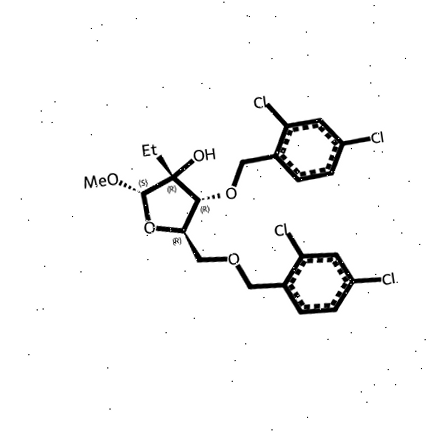 CC[C@]1(O)[C@@H](OC)O[C@H](COCc2ccc(Cl)cc2Cl)[C@H]1OCc1ccc(Cl)cc1Cl